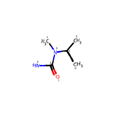 CC(C)N(C)C([NH])=O